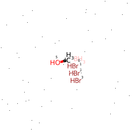 B.Br.Br.Br.CO